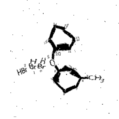 Br.Br.Br.Cc1cccc(Oc2ccccc2)c1